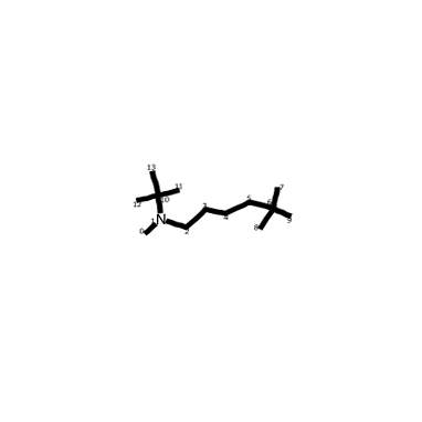 CN(CCCCC(C)(C)C)C(C)(C)C